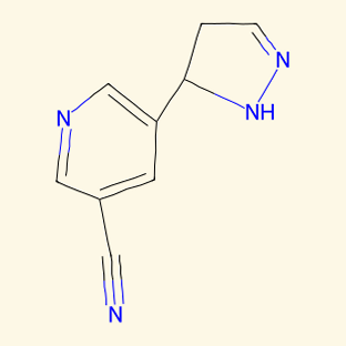 N#Cc1cncc(C2CC=NN2)c1